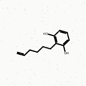 C=CCCCCc1c(O)cccc1O